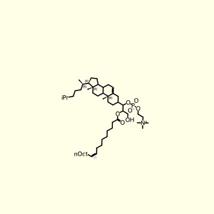 CCCCCCCC/C=C\CCCCCCCC(=O)OC(CO)C(OP(=O)([O-])OCC[N+](C)(C)C)C1CC[C@@]2(C)C(=CCC3C2CC[C@@]2(C)C3CC[C@@H]2[C@H](C)CCCC(C)C)C1